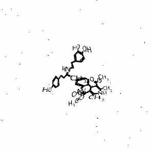 CC(CCc1ccc(O)cc1)NCCc1ccc(O)c(O)c1.COC(=O)C1=C(C)NC(C)=C(C(=O)OC)C1c1ccccc1[N+](=O)[O-]